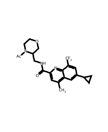 CC(=O)N1CCOCC1CNC(=O)c1cc(C)c2cc(C3CC3)cc(C(F)(F)F)c2n1